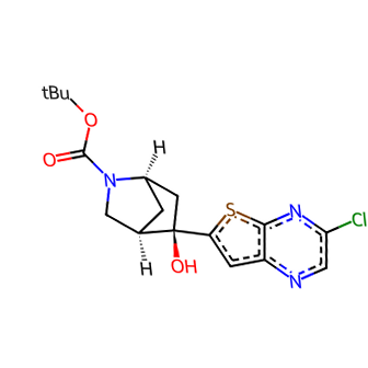 CC(C)(C)OC(=O)N1C[C@H]2C[C@@H]1C[C@]2(O)c1cc2ncc(Cl)nc2s1